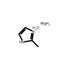 Cc1ncc[nH]1.O.[MgH2]